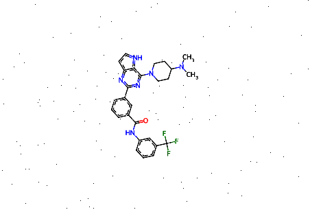 CN(C)C1CCN(c2nc(-c3cccc(C(=O)Nc4cccc(C(F)(F)F)c4)c3)nc3cc[nH]c23)CC1